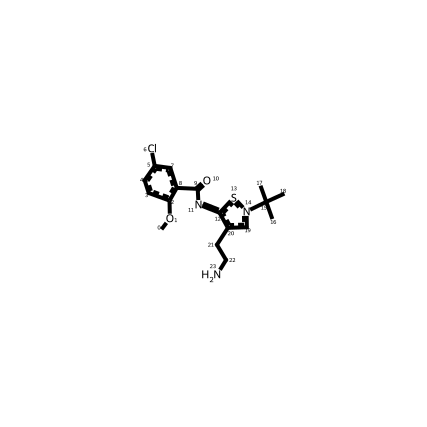 COc1ccc(Cl)cc1C(=O)N=c1sn(C(C)(C)C)cc1CCN